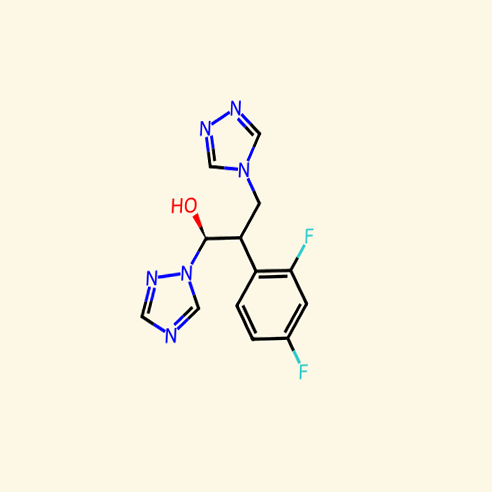 O[C@@H](C(Cn1cnnc1)c1ccc(F)cc1F)n1cncn1